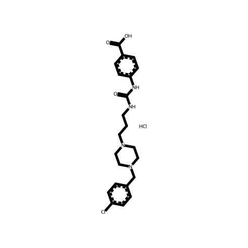 Cl.O=C(NCCCN1CCN(Cc2ccc(Cl)cc2)CC1)Nc1ccc(C(=O)O)cc1